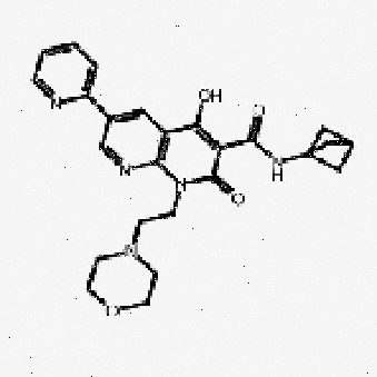 O=C(NC12CC(C1)C2)c1c(O)c2cc(-c3ccccn3)cnc2n(CCN2CCOCC2)c1=O